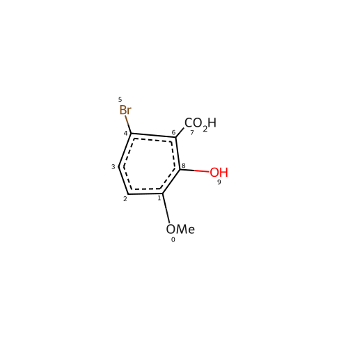 COc1ccc(Br)c(C(=O)O)c1O